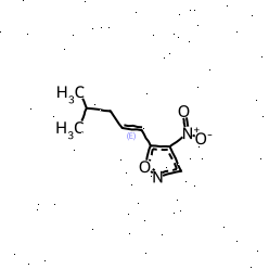 CC(C)C/C=C/c1oncc1[N+](=O)[O-]